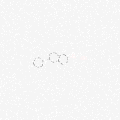 OBOc1ccc2cc(-c3ccccc3)ccc2c1